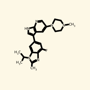 Cc1nc2c(F)cc(-c3c[nH]c4ncc(N5CCN(C)CC5)cc34)cc2n1C(C)C